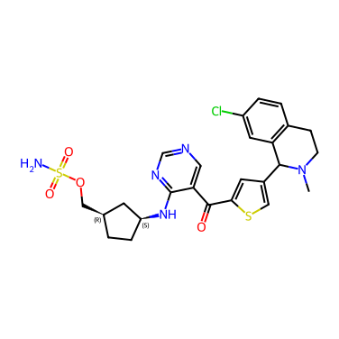 CN1CCc2ccc(Cl)cc2C1c1csc(C(=O)c2cncnc2N[C@H]2CC[C@@H](COS(N)(=O)=O)C2)c1